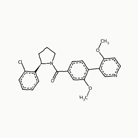 COc1cc(C(=O)N2CCC[C@@H]2c2ccccc2Cl)ccc1-c1cnccc1OC